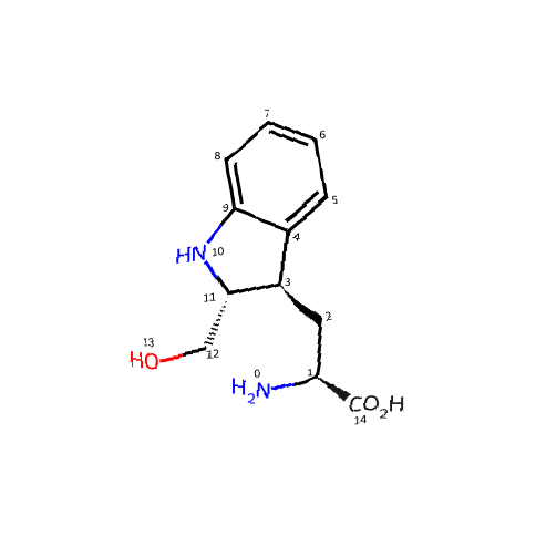 N[C@@H](C[C@@H]1c2ccccc2N[C@H]1CO)C(=O)O